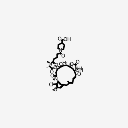 COc1cc2cc(c1Cl)N(C)C(=O)C[C@H](OC(=O)[C@H](C)N(C)C(=O)CCCC(=O)N1CCC(C(=O)O)CC1)[C@]1(C)O[C@H]1[C@H](C)[C@@H]1C[C@@](O)(NC(=O)O1)[C@H](OC)/C=C/C=C(\C)C2